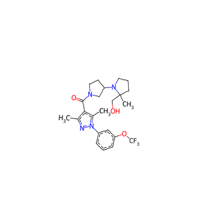 Cc1nn(-c2cccc(OC(F)(F)F)c2)c(C)c1C(=O)N1CCC(N2CCCC2(C)CO)C1